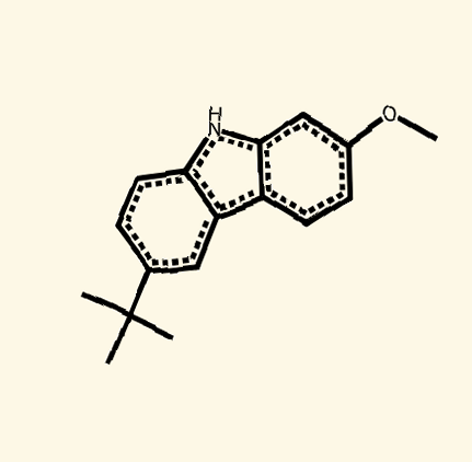 COc1ccc2c(c1)[nH]c1ccc(C(C)(C)C)cc12